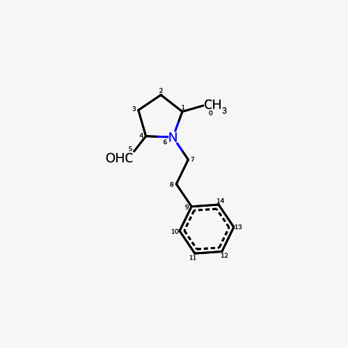 CC1CCC(C=O)N1CCc1ccccc1